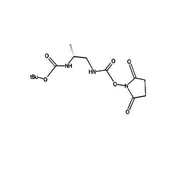 C[C@H](CNC(=O)ON1C(=O)CCC1=O)NC(=O)OC(C)(C)C